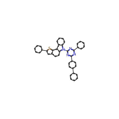 c1ccc(-c2ccc(-c3nc(-c4ccccc4)nc(-n4c5ccccc5c5c6sc(-c7ccccc7)cc6ccc54)n3)cc2)cc1